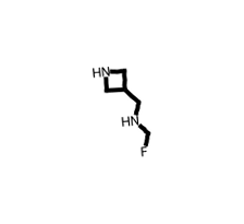 FCNCC1CNC1